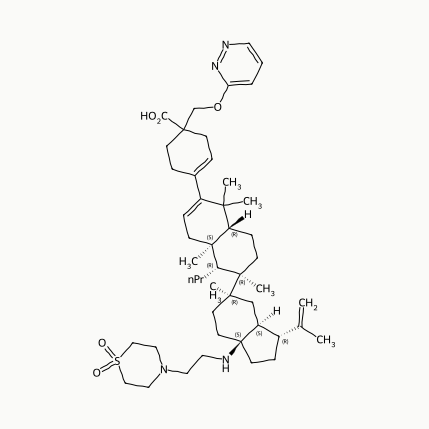 C=C(C)[C@@H]1CC[C@]2(NCCN3CCS(=O)(=O)CC3)CC[C@@](C)([C@]3(C)CC[C@H]4C(C)(C)C(C5=CCC(COc6cccnn6)(C(=O)O)CC5)=CC[C@]4(C)[C@H]3CCC)C[C@@H]12